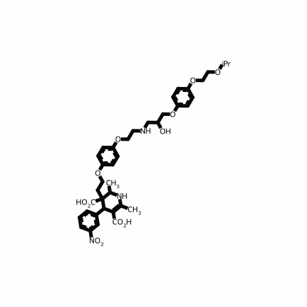 CC1=C(C(=O)O)C(c2cccc([N+](=O)[O-])c2)C(CCOc2ccc(OCCNCC(O)COc3ccc(OCCOC(C)C)cc3)cc2)(C(=O)O)C(C)N1